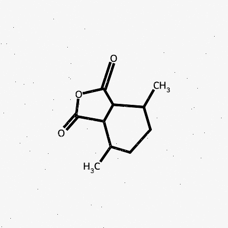 CC1CCC(C)C2C(=O)OC(=O)C12